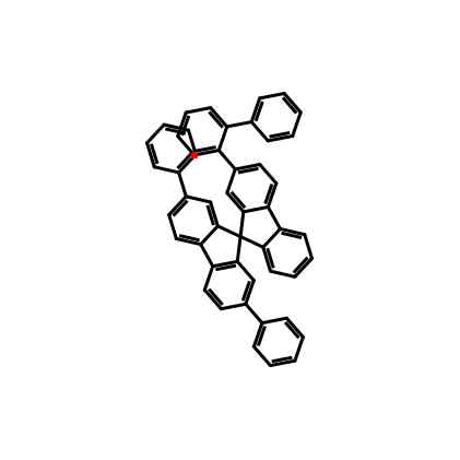 c1ccc(-c2ccc3c(c2)C2(c4ccccc4-c4ccc(-c5ccccc5-c5ccccc5)cc42)c2cc(-c4ccccc4)ccc2-3)cc1